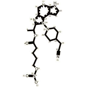 CC(OC(=O)CCCCO[N+](=O)[O-])c1nc2cnc3[nH]ccc3c2n1N1CCC(CC#N)CC1